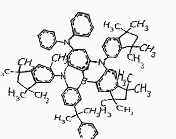 Cc1cc2c(cc1N1c3ccc(C(C)(C)c4ccccc4)cc3B3c4cc5c(cc4N(c4ccc6c(c4)C(C)(C)CC6(C)C)c4cc(N(c6ccccc6)c6ccccc6)cc1c43)C(C)(C)CC5(C)C)C(C)(C)CC2(C)C